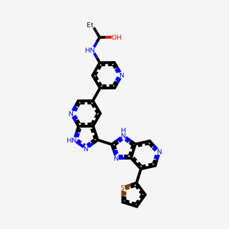 CCC(O)Nc1cncc(-c2cnc3[nH]nc(-c4nc5c(-c6cccs6)cncc5[nH]4)c3c2)c1